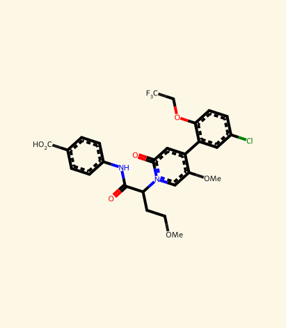 COCCC(C(=O)Nc1ccc(C(=O)O)cc1)n1cc(OC)c(-c2cc(Cl)ccc2OCC(F)(F)F)cc1=O